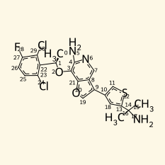 C[C@@H](Oc1c(N)ncc2c(-c3csc(C(C)(C)N)c3)coc12)c1c(Cl)ccc(F)c1Cl